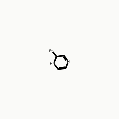 CC[C]1C=NC=CN1